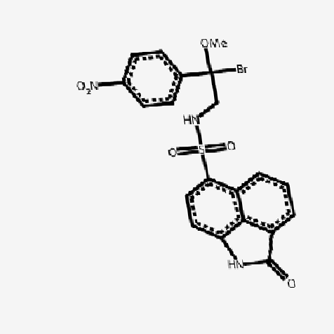 COC(Br)(CNS(=O)(=O)c1ccc2c3c(cccc13)C(=O)N2)c1ccc([N+](=O)[O-])cc1